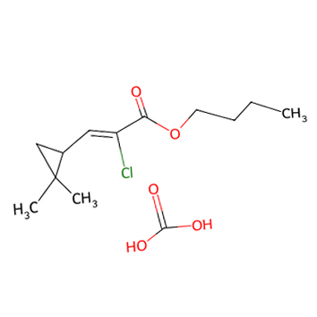 CCCCOC(=O)C(Cl)=CC1CC1(C)C.O=C(O)O